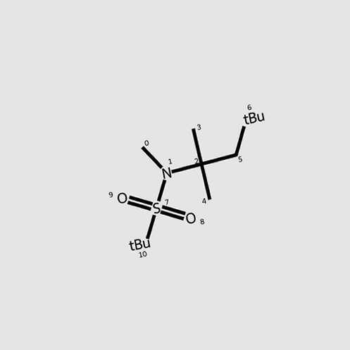 CN(C(C)(C)CC(C)(C)C)S(=O)(=O)C(C)(C)C